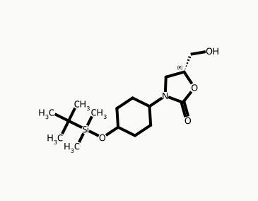 CC(C)(C)[Si](C)(C)OC1CCC(N2C[C@H](CO)OC2=O)CC1